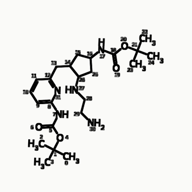 CC(C)(C)OC(=O)Nc1cccc(CC2CC(NC(=O)OC(C)(C)C)CC2NCCN)n1